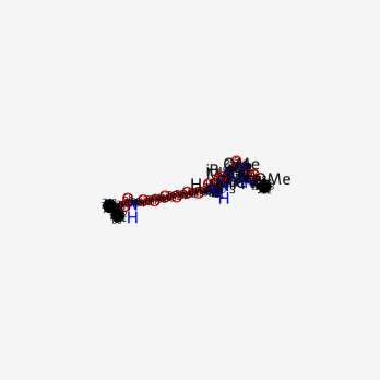 CC[C@H](C)[C@@H]([C@@H](CC(=O)N1CCC[C@H]1[C@H](OC)[C@@H](C)C(=O)N[C@@H](Cc1ccccc1)C(=O)OC)OC)N(C)C(=O)[C@@H](NC(=O)[C@]1(C)CCCN1C(=O)CCOCCOCCOCCOCCOCCOCCNC(=O)OCC1c2ccccc2-c2ccccc21)C(C)C